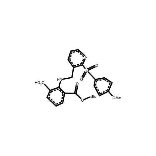 COc1ccc(S(=O)(=O)c2ncccc2CNc2c(C(=O)O)cccc2C(=O)OC(C)(C)C)cc1